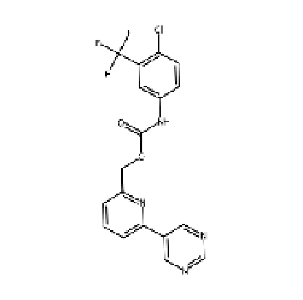 O=C(Nc1ccc(Cl)c(C(F)(F)F)c1)OCc1cccc(-c2cncnc2)n1